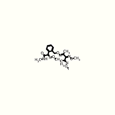 CNC(=O)/C(=N/OC)c1ccccc1CO/N=C(C)/C(=N/OC)C(/C)=N/OI